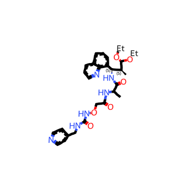 CCOC(OCC)[C@@H](C)[C@H](NC(=O)C(C)NC(=O)CONC(=O)NCc1ccncc1)c1cccc2cccnc12